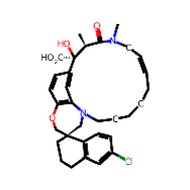 C[C@H]1C(=O)N(C)C/C=C\CCCCCN2C[C@@]3(CCCc4cc(Cl)ccc43)COc3ccc(cc32)[C@]1(O)C(=O)O